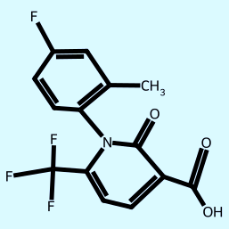 Cc1cc(F)ccc1-n1c(C(F)(F)F)ccc(C(=O)O)c1=O